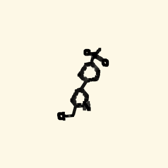 CS(=O)(=O)c1ccc(-c2ccc(CCl)nc2)cc1